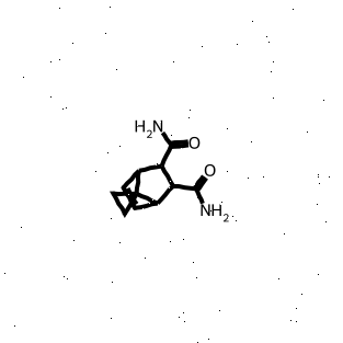 NC(=O)C1C(C(N)=O)C2C=CC1C21CC1